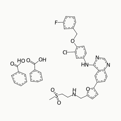 CS(=O)(=O)CCNCc1ccc(-c2ccc3ncnc(Nc4ccc(OCc5cccc(F)c5)c(Cl)c4)c3c2)o1.O=C(O)c1ccccc1.O=C(O)c1ccccc1